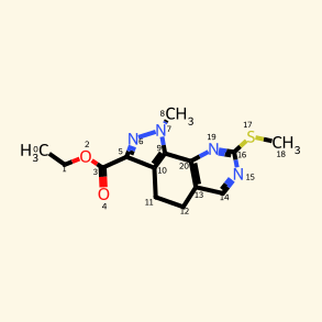 CCOC(=O)c1nn(C)c2c1CCc1cnc(SC)nc1-2